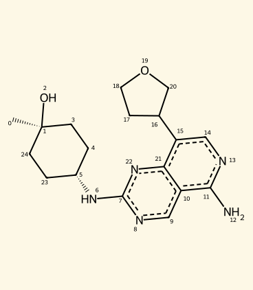 C[C@]1(O)CC[C@H](Nc2ncc3c(N)ncc(C4CCOC4)c3n2)CC1